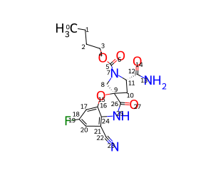 CCCCOC(=O)N1C[C@@]2(C[C@H]1C(N)=O)Oc1cc(F)cc(C#N)c1NC2=O